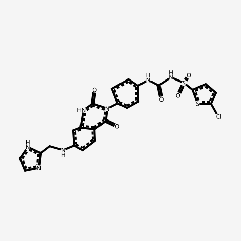 O=C(Nc1ccc(-n2c(=O)[nH]c3cc(NCc4ncc[nH]4)ccc3c2=O)cc1)NS(=O)(=O)c1ccc(Cl)s1